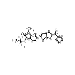 Cn1c(=O)n(CC(C)(C)C)c2ccc(C3=CC4CN(C(=O)c5csnn5)CC4C3)nc21